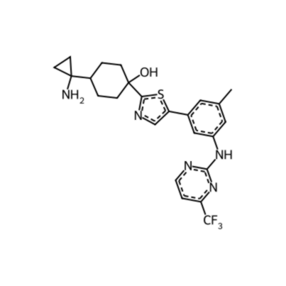 Cc1cc(Nc2nccc(C(F)(F)F)n2)cc(-c2cnc(C3(O)CCC(C4(N)CC4)CC3)s2)c1